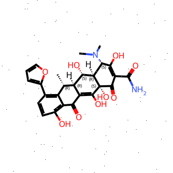 C[C@H]1c2c(-c3ccco3)ccc(O)c2C(=O)C2=C(O)[C@]3(O)C(=O)C(C(N)=O)=C(O)[C@@H](N(C)C)[C@@H]3[C@@H](O)[C@@H]21